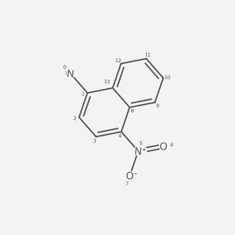 [N]c1ccc([N+](=O)[O-])c2ccccc12